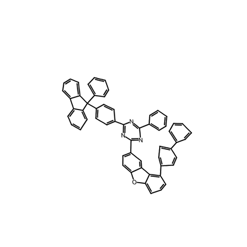 c1ccc(-c2ccc(-c3cccc4oc5ccc(-c6nc(-c7ccccc7)nc(-c7ccc(C8(c9ccccc9)c9ccccc9-c9ccccc98)cc7)n6)cc5c34)cc2)cc1